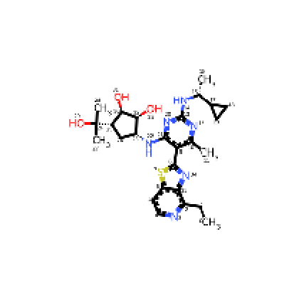 CCc1nccc2sc(-c3c(C)nc(N[C@H](C)C4CC4)nc3N[C@@H]3C[C@H](C(C)(C)O)[C@@H](O)[C@H]3O)nc12